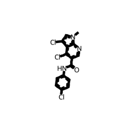 Cn1cc(Cl)c2c(Cl)c(C(=O)Nc3ccc(Cl)cc3)cnc21